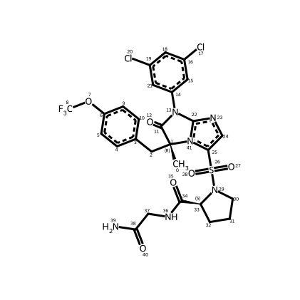 C[C@@]1(Cc2ccc(OC(F)(F)F)cc2)C(=O)N(c2cc(Cl)cc(Cl)c2)c2ncc(S(=O)(=O)N3CCC[C@H]3C(=O)NCC(N)=O)n21